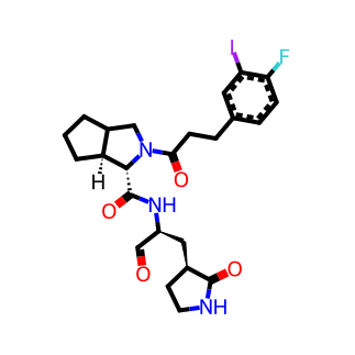 O=C[C@H](C[C@@H]1CCNC1=O)NC(=O)[C@@H]1[C@H]2CCCC2CN1C(=O)CCc1ccc(F)c(I)c1